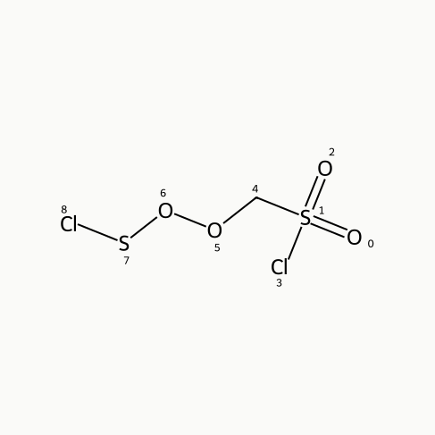 O=S(=O)(Cl)COOSCl